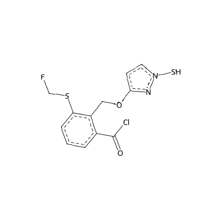 O=C(Cl)c1cccc(SCF)c1COc1ccn(S)n1